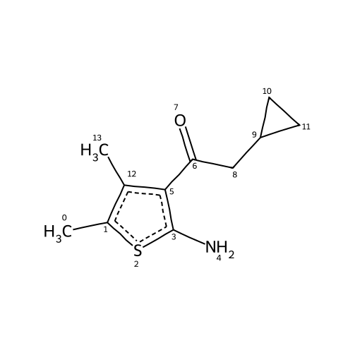 Cc1sc(N)c(C(=O)CC2CC2)c1C